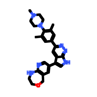 Cc1cc(-c2cc3c(-c4cnc5c(c4)COCCN5)c[nH]c3nn2)cc(C)c1N1CCN(C)CC1